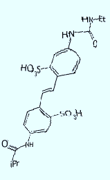 CCNC(=O)Nc1ccc(C=Cc2ccc(NC(=O)C(C)C)cc2S(=O)(=O)O)c(S(=O)(=O)O)c1